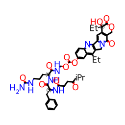 CCc1c2c(nc3ccc(OC(=O)OCNC(=O)[C@H](CCCNC(N)=O)NC(=O)[C@H](Cc4ccccc4)NC(=O)CCC(=O)C(C)C)cc13)-c1cc3c(c(=O)n1C2)COC(=O)[C@]3(O)CC